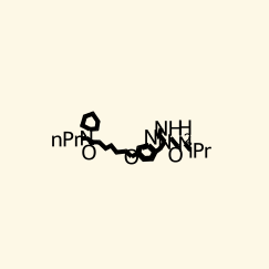 CCCN(C(=O)CCCCCOc1ccc2c(c1)N=C(N)N(CC(=O)NC(C)C)C2)C1CCCCC1